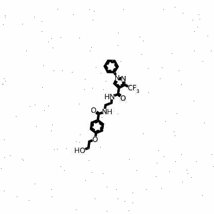 O=C(NCCNC(=O)c1cn(-c2ccccc2)nc1C(F)(F)F)c1ccc(OCCO)cc1